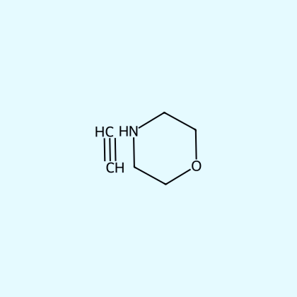 C#C.C1COCCN1